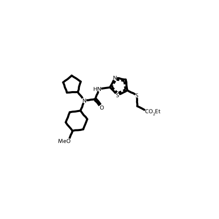 CCOC(=O)CSc1cnc(NC(=O)N(C2CCCC2)C2CCC(OC)CC2)s1